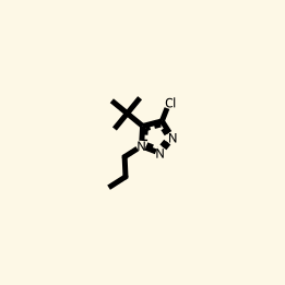 CCCn1nnc(Cl)c1C(C)(C)C